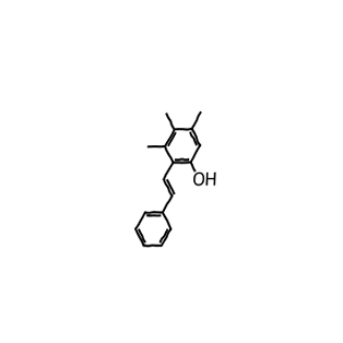 Cc1cc(O)c(C=Cc2ccccc2)c(C)c1C